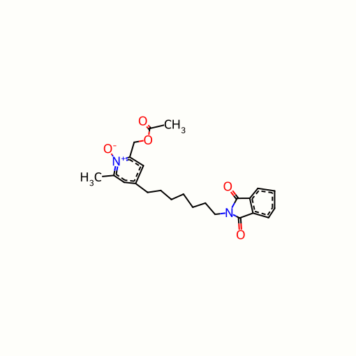 CC(=O)OCc1cc(CCCCCCCN2C(=O)c3ccccc3C2=O)cc(C)[n+]1[O-]